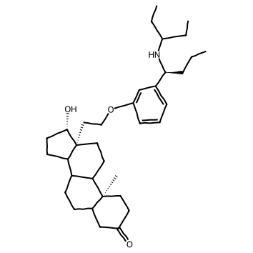 CCC[C@H](NC(CC)CC)c1cccc(OCC[C@]23CCC4C(CCC5CC(=O)CC[C@@]54C)C2CC[C@@H]3O)c1